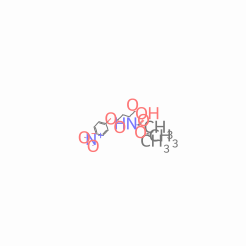 CC(C)(C)OC(=O)NC(CC(=O)Oc1ccc([N+](=O)[O-])cc1)C(=O)O